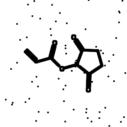 C=CC(=O)ON1C(=O)CCC1=O